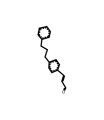 O=CC=Cc1ccc(CCCc2ccccc2)cc1